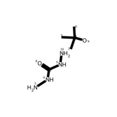 CC(C)(C)[O].NNC(=O)NN